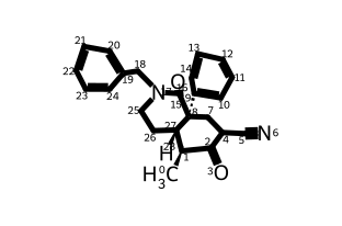 C[C@@H]1C(=O)C(C#N)C[C@]2(c3ccccc3)C(=O)N(Cc3ccccc3)CC[C@@H]12